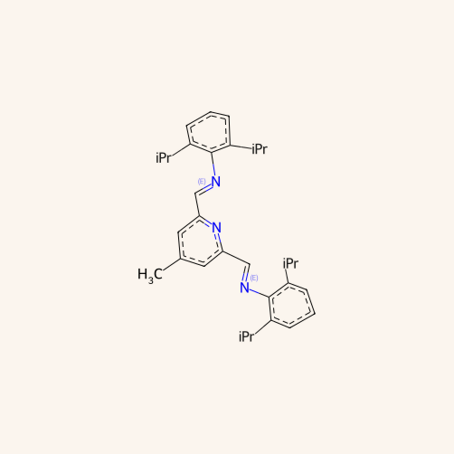 Cc1cc(/C=N/c2c(C(C)C)cccc2C(C)C)nc(/C=N/c2c(C(C)C)cccc2C(C)C)c1